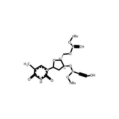 C#P(OCCCC)OC[C@H]1OC(n2cc(C)c(=O)[nH]c2=O)C[C@@H]1OP(C#CO)OCCCC